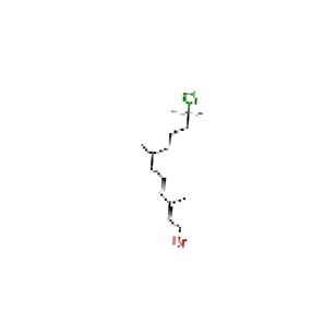 CC(/C=C/CC(C)CCCC(C)(C)Cl)=C\CBr